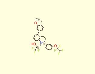 COc1cccc(-c2cccc3c2CC[C@H](c2cccc(OC(F)(F)C(F)F)c2)N3C[C@H](O)C(F)(F)F)c1